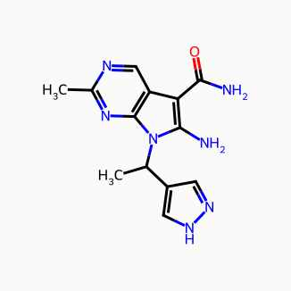 Cc1ncc2c(C(N)=O)c(N)n(C(C)c3cn[nH]c3)c2n1